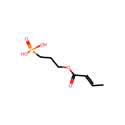 CC=CC(=O)OCCCP(=O)(O)O